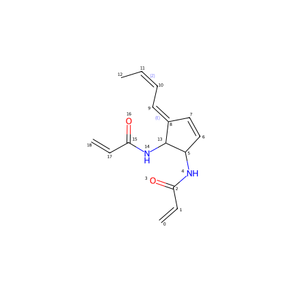 C=CC(=O)NC1C=C/C(=C\C=C/C)C1NC(=O)C=C